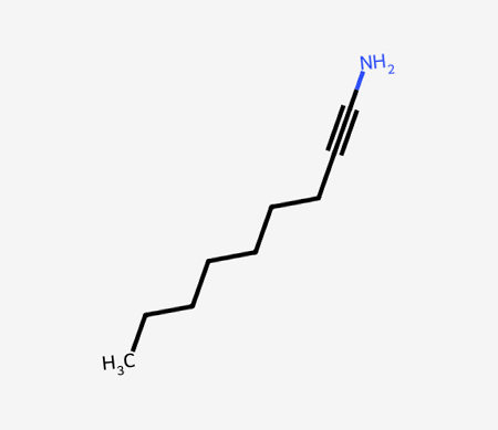 CCCCCCCC#CN